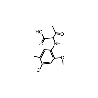 COc1cc(Cl)c(C)cc1NC(C(C)=O)C(=O)O